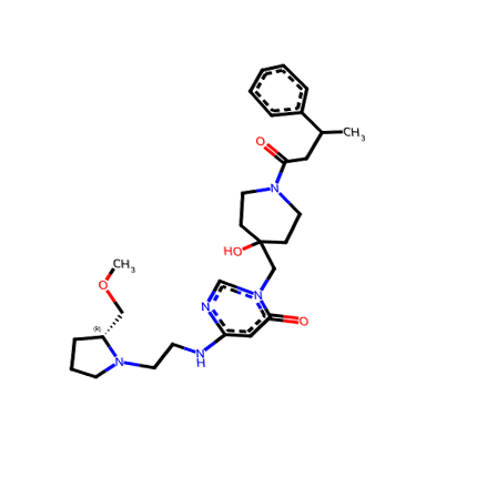 COC[C@H]1CCCN1CCNc1cc(=O)n(CC2(O)CCN(C(=O)CC(C)c3ccccc3)CC2)cn1